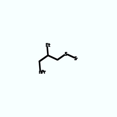 CCCCC(CC)CS[S]